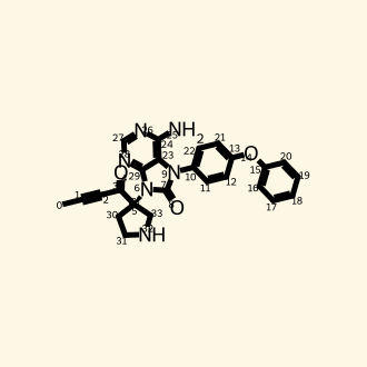 CC#CC(=O)[C@@]1(n2c(=O)n(-c3ccc(Oc4ccccc4)cc3)c3c(N)ncnc32)CCNC1